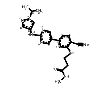 CNC(=O)CCNc1nc(-c2cnc(Nc3cnn(C(C)C)c3)nc2)ccc1C#N